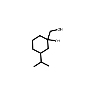 CC(C)C1CCCC(O)(CO)C1